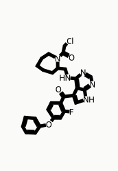 O=C(c1ccc(Oc2ccccc2)cc1F)c1c[nH]c2ncnc(NCC3CCCCCN3C(=O)CCl)c12